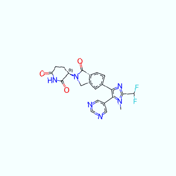 Cn1c(C(F)F)nc(-c2ccc3c(c2)CN([C@@H]2CCC(=O)NC2=O)C3=O)c1-c1cncnc1